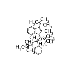 CC1=C([Si](C)(C)C)c2ccccc2[CH]1[Zr+2](=[C](C)C)[CH]1C(C)=C([Si](C)(C)C)c2ccccc21.[Cl-].[Cl-]